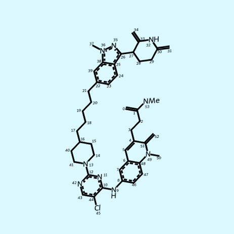 C=C(CCC1=Cc2cc(Nc3nc(N4CCC(CCCCCc5ccc6c(C7CCC(=C)NC7=C)nn(C)c6c5)CC4)ncc3Cl)ccc2N(C)C1=C)NC